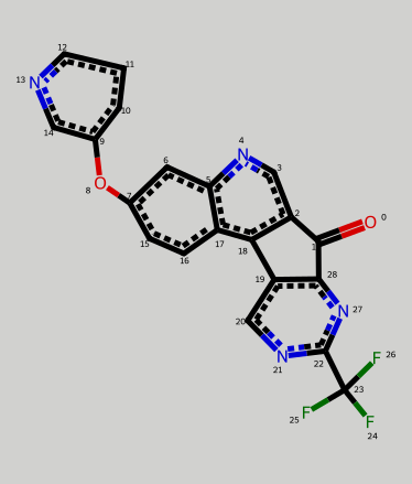 O=C1c2cnc3cc(Oc4cccnc4)ccc3c2-c2cnc(C(F)(F)F)nc21